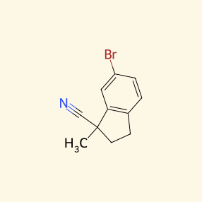 CC1(C#N)CCc2ccc(Br)cc21